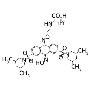 CC(C)[C@H](NCCON=C1c2ccc(S(=O)(=O)N3C[C@H](C)C[C@H](C)C3)cc2C(=NO)c2cc(S(=O)(=O)N3C[C@H](C)C[C@H](C)C3)ccc21)C(=O)O